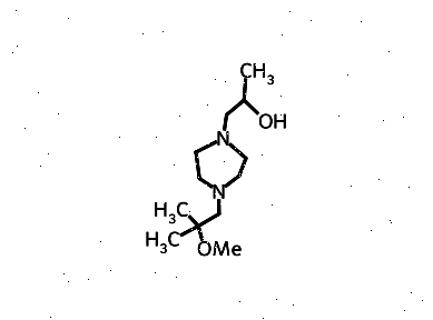 COC(C)(C)CN1CCN(CC(C)O)CC1